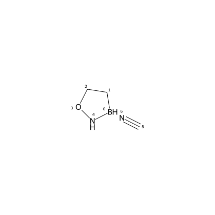 B1CCON1.C#N